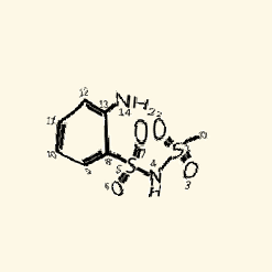 CS(=O)(=O)NS(=O)(=O)c1ccccc1N